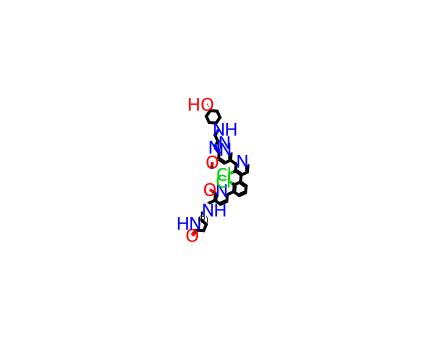 COc1nc(-c2cccc(-c3ccnc(-c4cc(OC)c5nc(CN[C@H]6CC[C@@H](O)CC6)nn5c4)c3Cl)c2Cl)ccc1CNC[C@H]1CCC(=O)N1